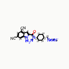 N#Cc1cc(C#N)c2cc(C(=O)N(N)[C@H]3CC[C@@H](CN=[N+]=[N-])CC3)[nH]c2c1